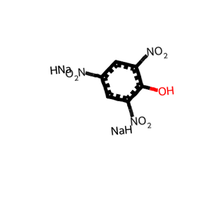 O=[N+]([O-])c1cc([N+](=O)[O-])c(O)c([N+](=O)[O-])c1.[NaH].[NaH]